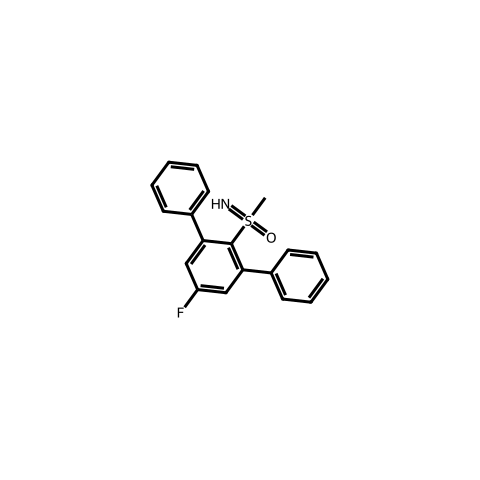 CS(=N)(=O)c1c(-c2ccccc2)cc(F)cc1-c1ccccc1